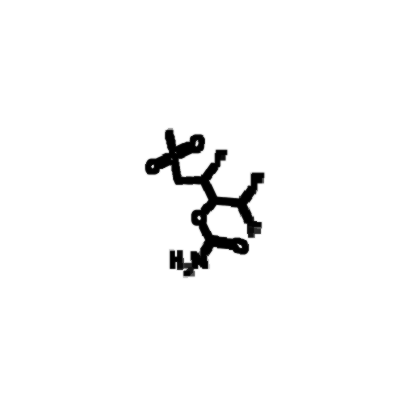 CS(=O)(=O)CC(F)C(OC(N)=O)C(F)F